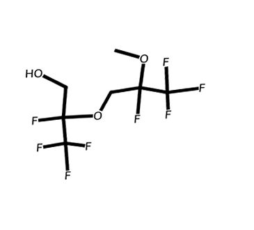 COC(F)(COC(F)(CO)C(F)(F)F)C(F)(F)F